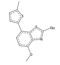 COc1ccc(-c2ccc(C)s2)c2sc(O)nc12